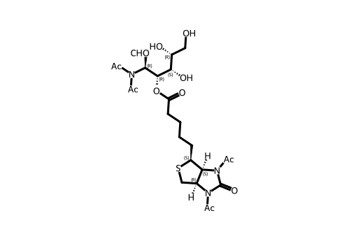 CC(=O)N1C(=O)N(C(C)=O)[C@H]2CS[C@@H](CCCCC(=O)O[C@@H]([C@@H](O)[C@H](O)CO)[C@H](C=O)N(C(C)=O)C(C)=O)[C@H]21